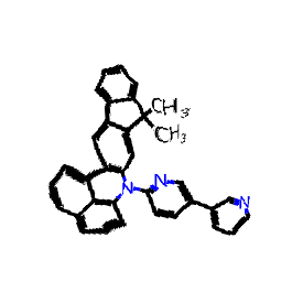 CC1(C)c2ccccc2-c2cc3c(cc21)N(c1ccc(-c2cccnc2)cn1)c1cccc2cccc-3c12